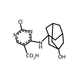 O=C(O)c1cnc(Cl)nc1NC12CC3CC(CC(O)(C3)C1)C2